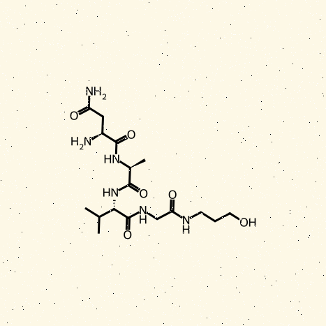 CC(C)[C@H](NC(=O)[C@H](C)NC(=O)[C@@H](N)CC(N)=O)C(=O)NCC(=O)NCCCO